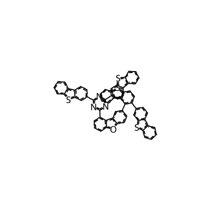 c1cc(-c2nc(-c3ccc4c(c3)sc3ccccc34)nc(-c3ccc4c(c3)sc3ccccc34)n2)c2c(c1)oc1ccc(-c3c(-c4ccc5c(c4)sc4ccccc45)ccc4sc5ccccc5c34)cc12